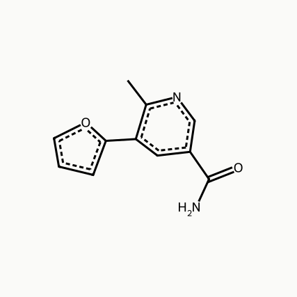 Cc1ncc(C(N)=O)cc1-c1ccco1